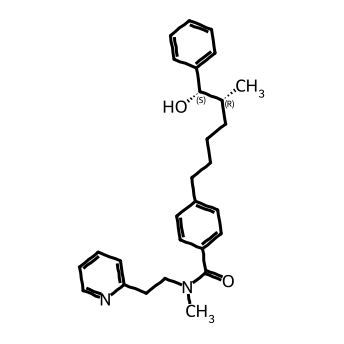 C[C@H](CCCCc1ccc(C(=O)N(C)CCc2ccccn2)cc1)[C@H](O)c1ccccc1